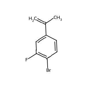 C=C(C)c1ccc(Br)c(F)c1